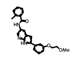 COCCOc1cccc(-c2cc3cc(NC(=O)c4ccccc4C)cnc3[nH]2)c1